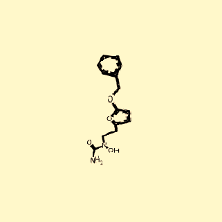 NC(=O)N(O)CCc1ccc(OCc2ccccc2)o1